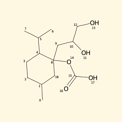 CC1CCC(C(C)C)C(CC(O)CO)(OC(=O)O)C1